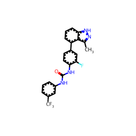 Cc1n[nH]c2cccc(-c3ccc(NC(=O)Nc4cccc(C(F)(F)F)c4)c(F)c3)c12